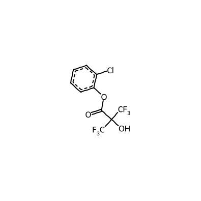 O=C(Oc1ccccc1Cl)C(O)(C(F)(F)F)C(F)(F)F